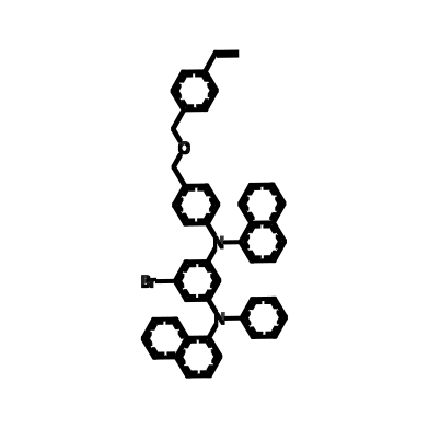 C=Cc1ccc(COCc2ccc(N(c3cc(Br)cc(N(c4ccccc4)c4cccc5ccccc45)c3)c3cccc4ccccc34)cc2)cc1